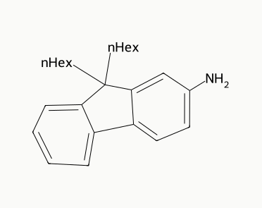 CCCCCCC1(CCCCCC)c2ccccc2-c2ccc(N)cc21